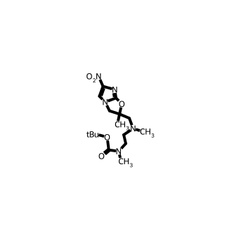 CN(CCN(C)C(=O)OC(C)(C)C)CC1(C)Cn2cc([N+](=O)[O-])nc2O1